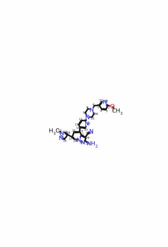 COc1ccc(CN2CCN(c3ccc(-c4cc(-c5cnn(C)c5)cn5nc(N)c(C#N)c45)cn3)CC2)cn1